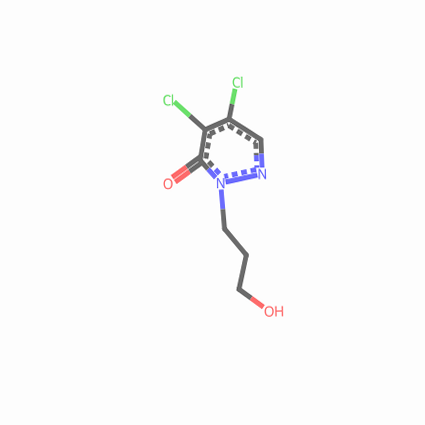 O=c1c(Cl)c(Cl)cnn1CCCO